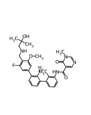 COc1cc(-c2cccc(-c3cccc(NC(=O)c4cncn(C)c4=O)c3C)c2C)cc(F)c1CNCC(C)(C)O